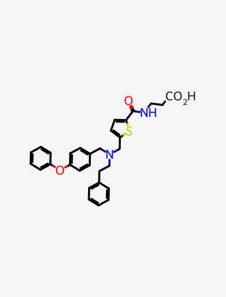 O=C(O)CCNC(=O)c1ccc(CN(CCc2ccccc2)Cc2ccc(Oc3ccccc3)cc2)s1